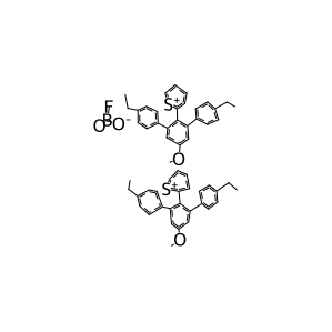 CCc1ccc(-c2cc(OC)cc(-c3ccc(CC)cc3)c2-c2cccc[s+]2)cc1.CCc1ccc(-c2cc(OC)cc(-c3ccc(CC)cc3)c2-c2cccc[s+]2)cc1.[O-]B([O-])F